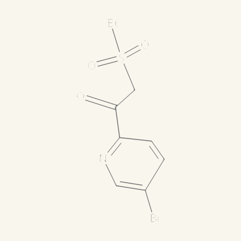 CCS(=O)(=O)CC(=O)c1ccc(Br)cn1